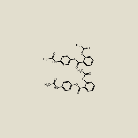 CC(=O)Nc1ccc(OC(=O)c2ccccc2OC(C)=O)cc1.CC(=O)Nc1ccc(OC(=O)c2ccccc2OC(C)=O)cc1